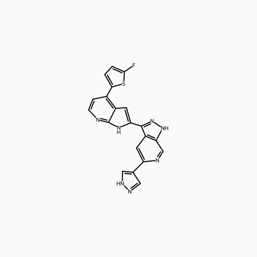 Fc1ccc(-c2ccnc3[nH]c(-c4n[nH]c5cnc(-c6cn[nH]c6)cc45)cc23)s1